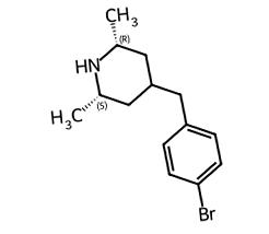 C[C@@H]1CC(Cc2ccc(Br)cc2)C[C@H](C)N1